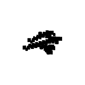 CCCCCC(=O)OCC(CC)CCCC.CCCCCCCCC(CCCCCCCC(=O)O)C(=O)OCC(CO)(CO)CO